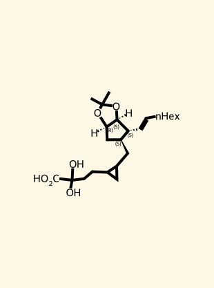 CCCCCCC=C[C@@H]1[C@@H](CC2CC2CCC(O)(O)C(=O)O)C[C@H]2OC(C)(C)O[C@@H]12